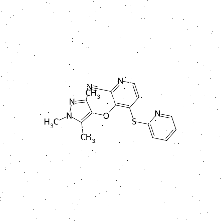 Cc1nn(C)c(C)c1Oc1c(Sc2ccccn2)ccnc1C#N